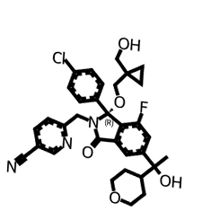 CC(O)(c1cc(F)c2c(c1)C(=O)N(Cc1ccc(C#N)cn1)[C@@]2(OCC1(CO)CC1)c1ccc(Cl)cc1)C1CCOCC1